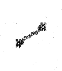 O=C(CCOCCOCCOCCOCCC(=O)Oc1c(F)cc(F)c(F)c1F)Oc1c(F)cc(F)c(F)c1F